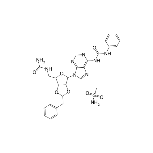 CS(N)(=O)=O.NC(=O)NCC1OC(n2cnc3c(NC(=O)Nc4ccccc4)ncnc32)C2OC(Cc3ccccc3)OC12